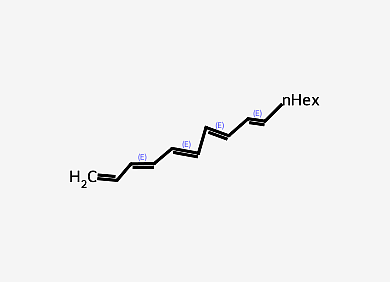 C=C/C=C/C=C/C=C/C=C/CCCCCC